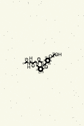 CC(=O)NNC(=O)CN1Cc2ccccc2N(C(=O)c2ccc(OCCO)cc2)CC1=O